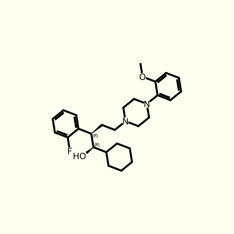 COc1ccccc1N1CCN(CC[C@H](c2ccccc2F)[C@H](O)C2CCCCC2)CC1